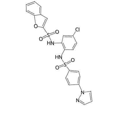 O=S(=O)(Nc1ccc(Cl)cc1NS(=O)(=O)c1cc2ccccc2o1)c1ccc(-n2cccn2)cc1